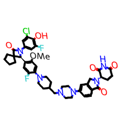 COc1cc(N2CCC(CN3CCN(c4ccc5c(c4)CN([C@H]4CCC(=O)NC4=O)C5=O)CC3)CC2)c(F)cc1[C@@H]1N(c2cc(F)c(O)c(Cl)c2)C(=O)C12CCCC2